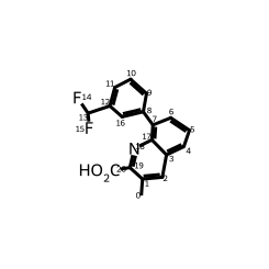 Cc1cc2cccc(-c3cccc(C(F)F)c3)c2nc1C(=O)O